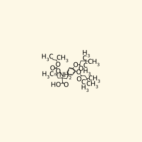 CCC(C)OC(=O)O[C@@H](C)CC(N)(Cc1ccc(OC(=O)CC(C)(C)C)c(OC(=O)CC(C)(C)C)c1)C(=O)O